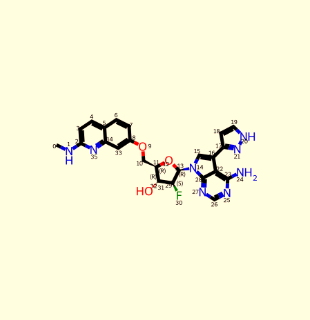 CNc1ccc2ccc(OC[C@H]3O[C@@H](n4cc(-c5cc[nH]n5)c5c(N)ncnc54)[C@@H](F)[C@@H]3O)cc2n1